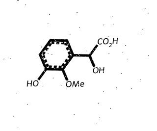 COc1c(O)cccc1C(O)C(=O)O